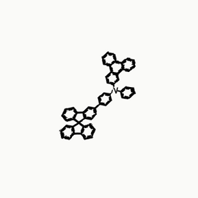 c1ccc(N(c2ccc(-c3ccc4c(c3)-c3ccccc3C43c4ccccc4-c4ccccc43)cc2)c2ccc3c4ccccc4c4ccccc4c3c2)cc1